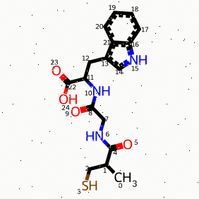 CC(CS)C(=O)NCC(=O)NC(Cc1c[nH]c2ccccc12)C(=O)O